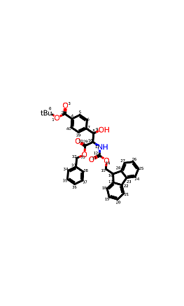 CC(C)(C)OC(=O)c1ccc(C(O)C(NC(=O)OCC2c3ccccc3-c3ccccc32)C(=O)OCc2ccccc2)cc1